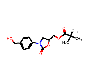 CC(C)(C)C(=O)OCC1CN(c2ccc(CO)cc2)C(=O)O1